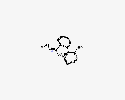 CCOC(=O)/C(=N/OC)c1ccccc1-c1ccccc1NC